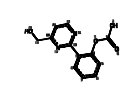 O=C(O)Oc1ccccc1-c1nccc(CO)n1